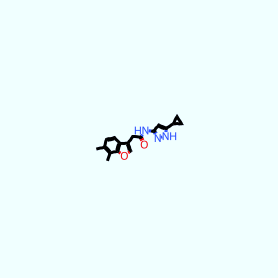 Cc1ccc2c(CC(=O)Nc3cc(C4CC4)[nH]n3)coc2c1C